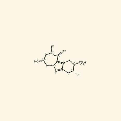 C[C@@H]1Cc2nn3c(c2CN1C(=O)O)C(=O)N(C)C[C@H](O)C3